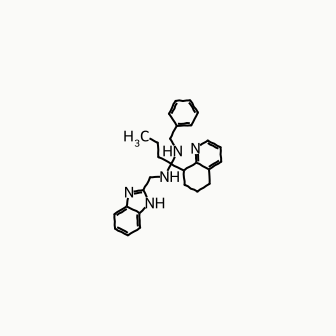 CCCC(NCc1ccccc1)(NCc1nc2ccccc2[nH]1)C1CCCc2cccnc21